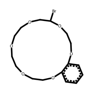 BrC1COCCOCCOCCOc2ccccc2OCCO1